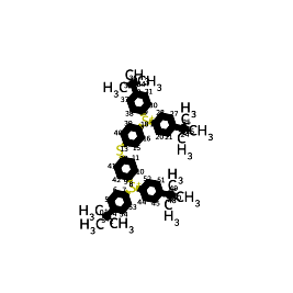 CC(C)(C)c1ccc([S+](c2ccc(Sc3ccc([S+](c4ccc(C(C)(C)C)cc4)c4ccc(C(C)(C)C)cc4)cc3)cc2)c2ccc(C(C)(C)C)cc2)cc1